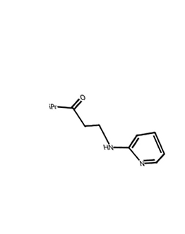 CC(C)C(=O)CCNc1ccccn1